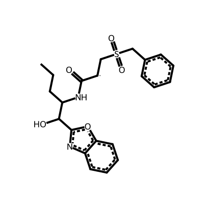 CCCC(NC(=O)[CH]CS(=O)(=O)Cc1ccccc1)C(O)c1nc2ccccc2o1